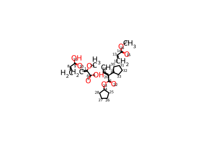 C=C(OC)C(=O)O.C=CC(=O)O.C=CC(=O)OC.CC=C(C(=O)OC1CCCC1)C1CCCC1